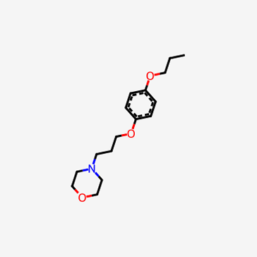 CCCOc1ccc(OCCCN2CCOCC2)cc1